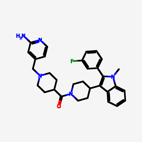 Cn1c(-c2cccc(F)c2)c(C2CCN(C(=O)C3CCN(Cc4ccnc(N)c4)CC3)CC2)c2ccccc21